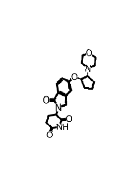 O=C1CCC(N2Cc3cc(O[C@@H]4CCC[C@H]4N4CCOCC4)ccc3C2=O)C(=O)N1